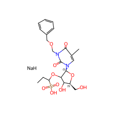 CCC(OC1C(O)[C@H](CO)O[C@@H]1n1cc(C)c(=O)n(COCc2ccccc2)c1=O)S(=O)(=O)O.[NaH]